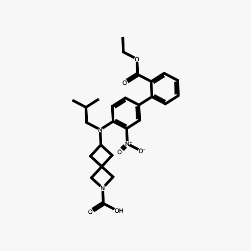 CCOC(=O)c1ccccc1-c1ccc(N(CC(C)C)C2CC3(C2)CN(C(=O)O)C3)c([N+](=O)[O-])c1